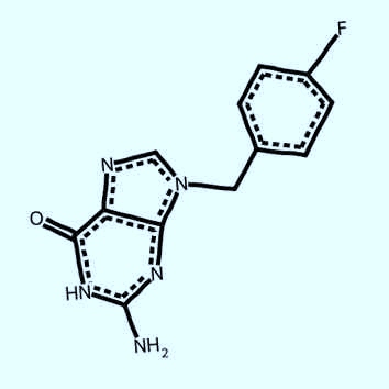 Nc1nc2c(ncn2Cc2ccc(F)cc2)c(=O)[nH]1